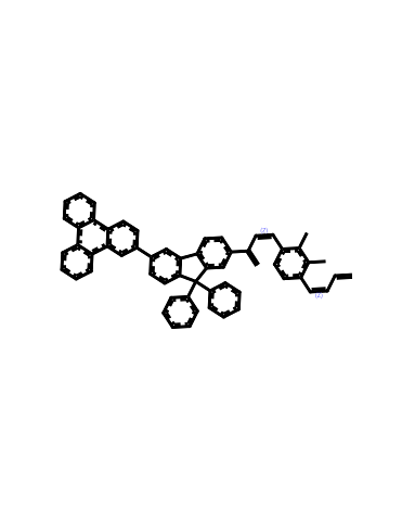 C=C/C=C\c1ccc(/C=C\C(=C)c2ccc3c(c2)C(c2ccccc2)(c2ccccc2)c2ccc(-c4ccc5c6ccccc6c6ccccc6c5c4)cc2-3)c(C)c1C